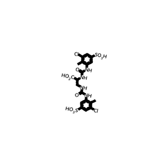 Cc1c(Cl)cc(S(=O)(=O)O)cc1NC(=O)NCC(NC(=O)Nc1cc(S(=O)(=O)O)cc(Cl)c1C)C(=O)O